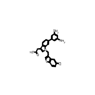 Nc1cc(N)cc(-c2ccc3c(CC(=O)O)cn(Cc4csc5ccc(Cl)cc45)c3c2)c1